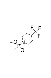 COP(C)(=O)N1CCC(C(F)(F)F)CC1